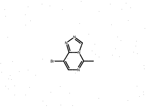 Cc1ncc(Br)c2nncn12